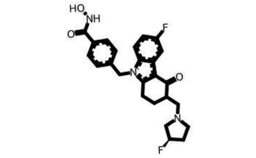 O=C(NO)c1ccc(Cn2c3c(c4cc(F)ccc42)C(=O)C(CN2CC[C@@H](F)C2)CC3)cc1